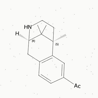 CC(=O)c1ccc2c(c1)[C@]1(C)CCN[C@H](C2)C1(C)C